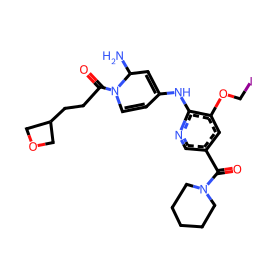 NC1C=C(Nc2ncc(C(=O)N3CCCCC3)cc2OCI)C=CN1C(=O)CCC1COC1